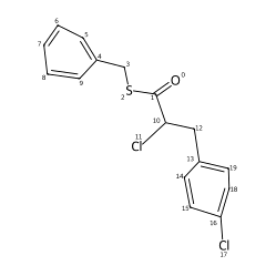 O=C(SCc1ccccc1)C(Cl)Cc1ccc(Cl)cc1